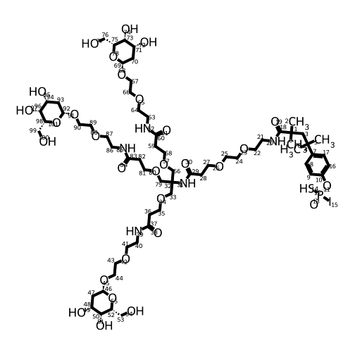 CC(C)(CC(C)(C)c1ccc(OP(=O)(S)I)cc1)C(=O)NCCOCCOCCC(=O)NC(COCCC(=O)NCCOCCO[C@H]1C[C@@H](O)[C@@H](O)[C@@H](CO)O1)(COCCC(=O)NCCOCCO[C@H]1C[C@@H](O)[C@@H](O)[C@@H](CO)O1)COCCC(=O)NCCOCCO[C@H]1C[C@@H](O)[C@@H](O)[C@@H](CO)O1